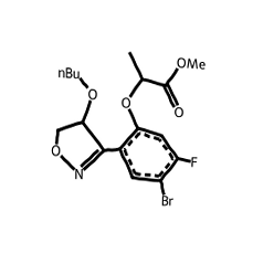 CCCCOC1CON=C1c1cc(Br)c(F)cc1OC(C)C(=O)OC